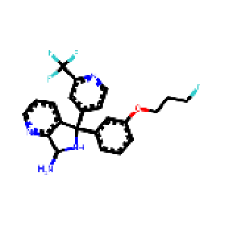 NC1NC(c2cccc(OCCCF)c2)(c2ccnc(C(F)(F)F)c2)c2cccnc21